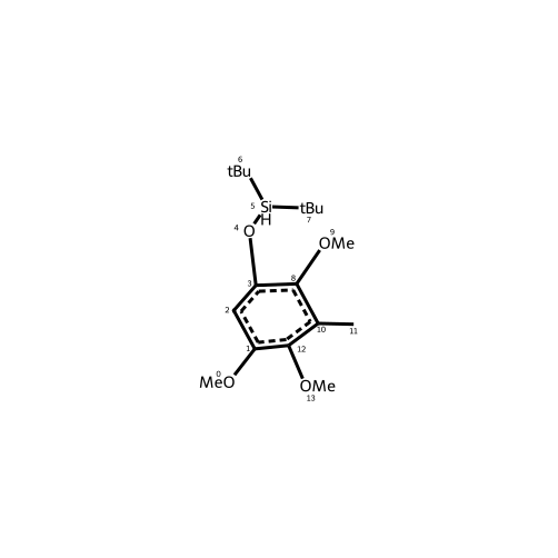 COc1cc(O[SiH](C(C)(C)C)C(C)(C)C)c(OC)c(C)c1OC